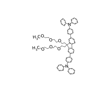 COCCOCCOCCC1(CCOCCOCCOC)c2cc(-c3ccc(N(c4ccccc4)c4ccccc4)cc3)ccc2-c2ccc(-c3ccc(N(c4ccccc4)c4ccccc4)cc3)cc21